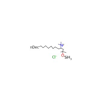 CCCCCCCCCCCCCCCCCCC(CC(C)(C)O[SiH3])[N+](C)(C)C.[Cl-]